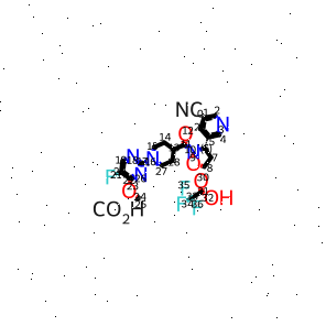 N#Cc1cncc([C@@H]2CCON2C(=O)C2CCN(c3ncc(F)c(OCC(=O)O)n3)CC2)c1.O=C(O)C(F)(F)F